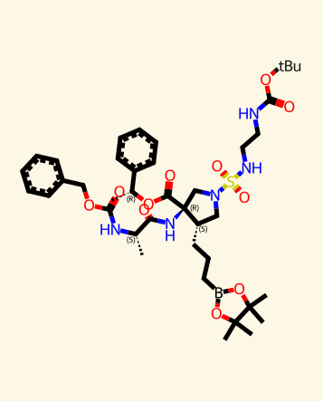 C[C@H](NC(=O)OCc1ccccc1)C(=O)N[C@@]1(C(=O)O[C@H](C)c2ccccc2)CN(S(=O)(=O)NCCNC(=O)OC(C)(C)C)C[C@@H]1CCCB1OC(C)(C)C(C)(C)O1